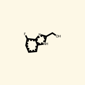 OCc1nc2c(F)cccc2[nH]1